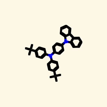 C[Si](C)(C)c1ccc(N(c2ccc(-n3c4ccccc4c4ccccc43)cc2)c2ccc([Si](C)(C)C)cc2)cc1